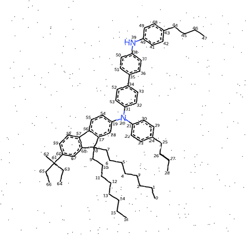 CCCCCCCCC1(CCCCCCCC)c2cc(N(c3ccc(CCCC)cc3)c3ccc(-c4ccc(Nc5ccc(CCCC)cc5)cc4)cc3)ccc2-c2ccc(C(C)(CC)CC)cc21